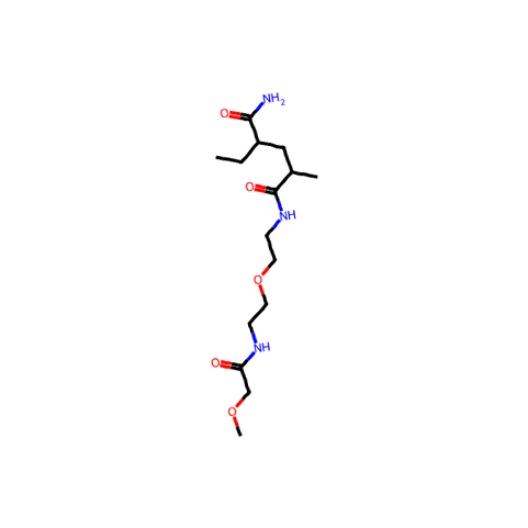 CCC(CC(C)C(=O)NCCOCCNC(=O)COC)C(N)=O